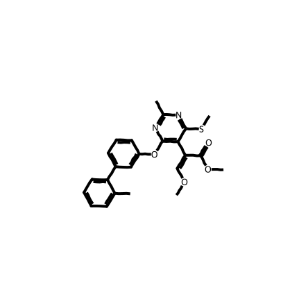 COC=C(C(=O)OC)c1c(Oc2cccc(-c3ccccc3C)c2)nc(C)nc1SC